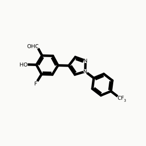 O=Cc1cc(-c2cnn(-c3ccc(C(F)(F)F)cc3)c2)cc(F)c1O